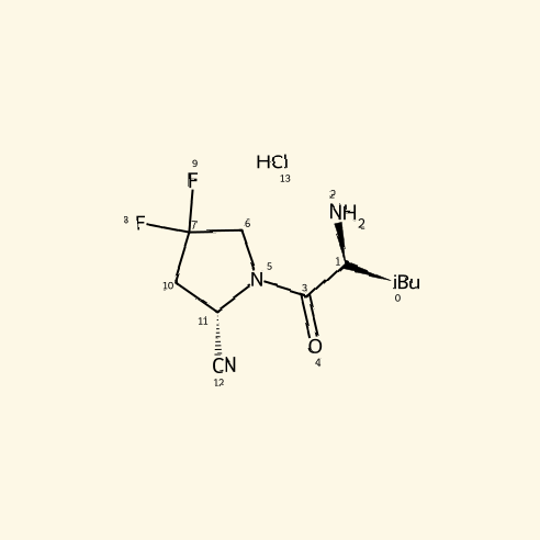 CC[C@H](C)[C@H](N)C(=O)N1CC(F)(F)C[C@H]1C#N.Cl